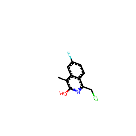 Cc1c(O)nc(CCl)c2ccc(F)cc12